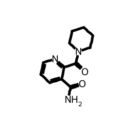 NC(=O)c1cccnc1C(=O)N1CCCCC1